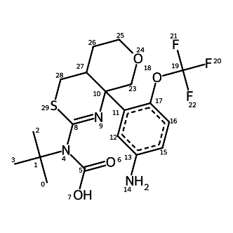 CC(C)(C)N(C(=O)O)C1=NC2(c3cc(N)ccc3OC(F)(F)F)COCCC2CS1